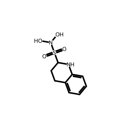 O=S(=O)(C1CCc2ccccc2N1)N(O)O